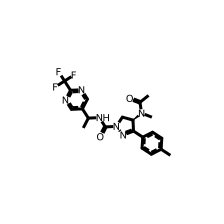 CC(=O)N(C)[C@@H]1CN(C(=O)NC(C)c2cnc(C(F)(F)F)nc2)N=C1c1ccc(C)cc1